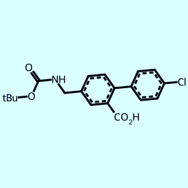 CC(C)(C)OC(=O)NCc1ccc(-c2ccc(Cl)cc2)c(C(=O)O)c1